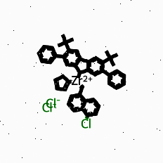 CC(C)(C)c1cc2c(cc1-c1ccccc1)[CH](/[Zr+2](=[CH]/c1cccc3c(Cl)cccc13)[C]1=CC=CC1)c1cc(-c3ccccc3)c(C(C)(C)C)cc1-2.[Cl-].[Cl-]